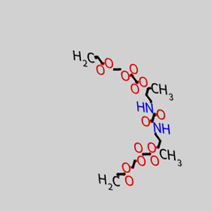 C=CC(=O)OCCOC(=O)C(=O)OC(C)CCNC(=O)C(=O)NCCC(C)OC(=O)C(=O)OCCOC(=O)C=C